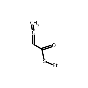 C=C=CC(=O)SCC